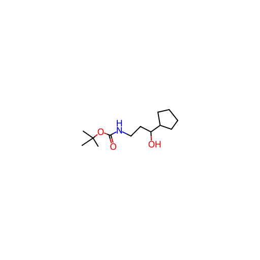 CC(C)(C)OC(=O)NCCC(O)C1CCCC1